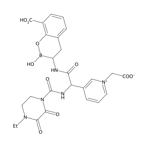 CCN1CCN(C(=O)NC(C(=O)NC2Cc3cccc(C(=O)O)c3OB2O)c2ccc[n+](CC(=O)[O-])c2)C(=O)C1=O